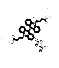 O=C(O)CCC[n+]1c2ccccc2c(-c2c3ccccc3[n+](CCCC(=O)O)c3ccccc23)c2ccccc21.O=[N+]([O-])[O-].O=[N+]([O-])[O-]